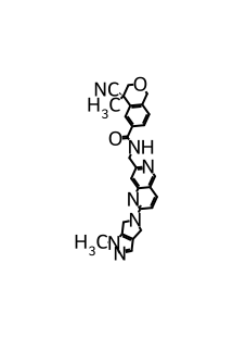 Cn1ncc2c1CN(c1ccc3cnc(CNC(=O)c4ccc5c(c4)[C@](C)(C#N)COC5)cc3n1)C2